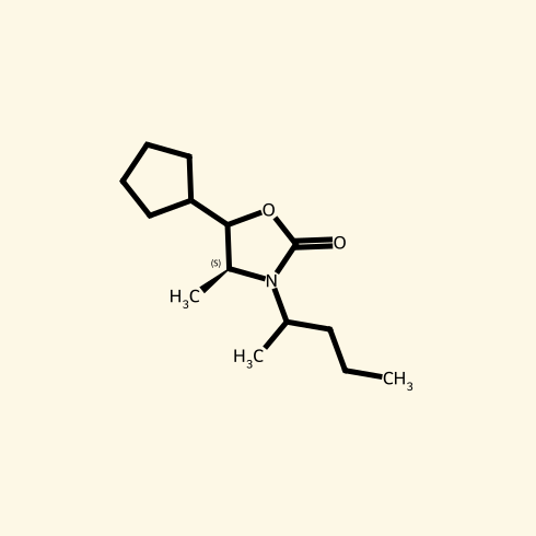 CCCC(C)N1C(=O)OC(C2CCCC2)[C@@H]1C